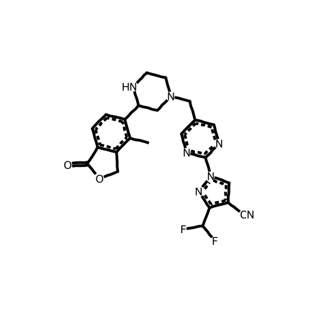 Cc1c(C2CN(Cc3cnc(-n4cc(C#N)c(C(F)F)n4)nc3)CCN2)ccc2c1COC2=O